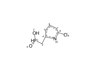 O=[PH](O)Cc1cccc(Cl)n1